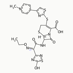 CCO/N=C(\C(=O)NC1C(=O)N2C(C(=O)O)=C(Sc3nc(-c4cc[n+](C)cc4)cs3)CS[C@H]12)c1nsc(O)n1